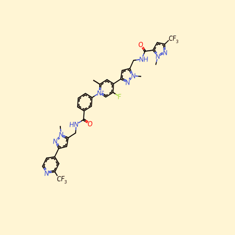 Cc1cc(-c2cc(CNC(=O)c3cc(C(F)(F)F)nn3C)n(C)n2)c(F)c[n+]1-c1cccc(C(=O)NCc2cc(-c3ccnc(C(F)(F)F)c3)nn2C)c1